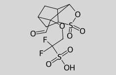 O=CC1(OCC(F)(F)S(=O)(=O)O)C2CC3C1OS(=O)(=O)C3C2